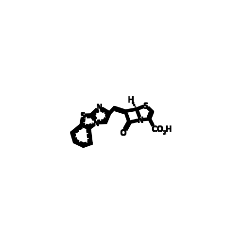 O=C(O)C1=CS[C@@H]2C(=Cc3cn4c(n3)sc3ccccc34)C(=O)N12